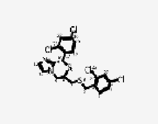 Clc1ccc(CSCC(Cn2ccnc2)SCc2ccc(Cl)cc2Cl)c(Cl)c1